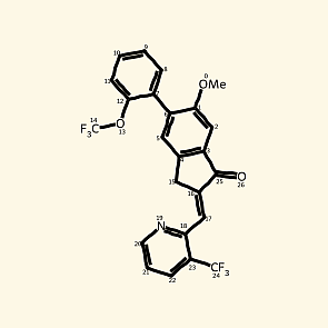 COc1cc2c(cc1-c1ccccc1OC(F)(F)F)C/C(=C\c1ncccc1C(F)(F)F)C2=O